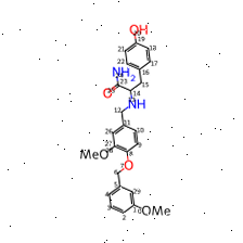 COc1cccc(COc2ccc(CNC(Cc3ccc(O)cc3)C(N)=O)cc2OC)c1